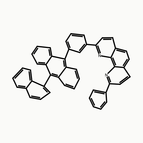 c1ccc(-c2ccc3ccc4ccc(-c5cccc(-c6c7ccccc7c(-c7cccc8ccccc78)c7ccccc67)c5)nc4c3n2)cc1